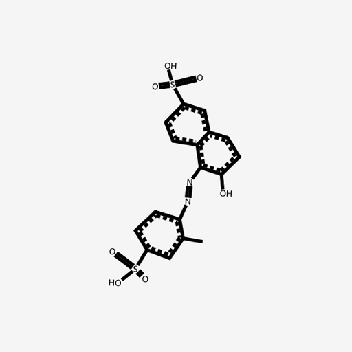 Cc1cc(S(=O)(=O)O)ccc1N=Nc1c(O)ccc2cc(S(=O)(=O)O)ccc12